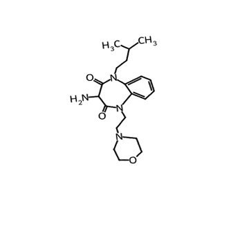 CC(C)CCN1C(=O)C(N)C(=O)N(CCN2CCOCC2)c2ccccc21